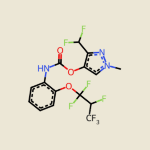 Cn1cc(OC(=O)Nc2ccccc2OC(F)(F)C(F)C(F)(F)F)c(C(F)F)n1